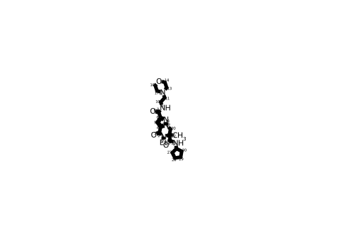 CCN1C(=O)c2cc(C(=O)NCCN3CCOCC3)nn2CC1(C)C(=O)NC1CCCC1